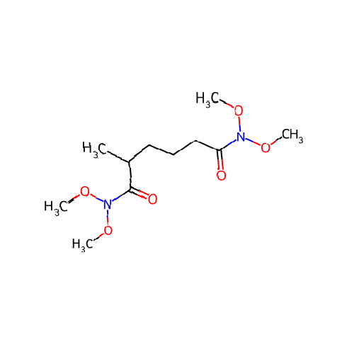 CON(OC)C(=O)CCCC(C)C(=O)N(OC)OC